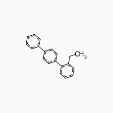 CCc1ccccc1-c1ccc(-c2ccccc2)cc1